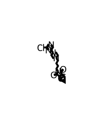 O=C1C2=C3CCC(C2C(=O)N1CCCCN1CCN(c2cncc(Cl)n2)CC1)C1CC31